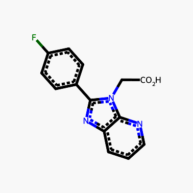 O=C(O)Cn1c(-c2ccc(F)cc2)nc2cccnc21